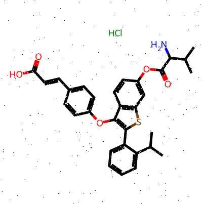 CC(C)c1ccccc1-c1sc2cc(OC(=O)C(N)C(C)C)ccc2c1Oc1ccc(C=CC(=O)O)cc1.Cl